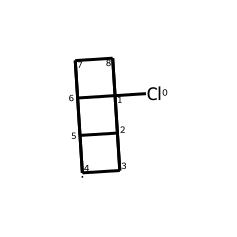 ClC12C3C4[C]5C3C1C5C42